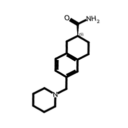 NC(=O)[C@H]1CCc2cc(CN3CCCCC3)ccc2C1